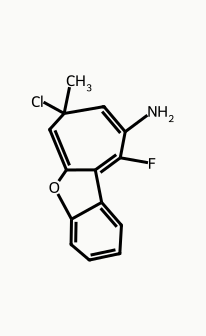 CC1(Cl)C=C(N)C(F)=c2c(oc3ccccc23)=C1